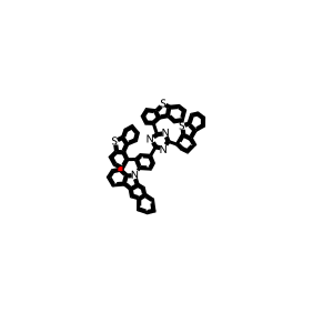 c1ccc2cc3c(cc2c1)c1ccccc1n3-c1ccc(-c2nc(-c3cccc4c3sc3ccccc34)nc(-c3cccc4sc5ccccc5c34)n2)cc1-c1cccc2sc3ccccc3c12